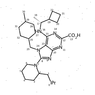 CC(C)CC1CCCCN1c1nc2nc(C(=O)O)nc(N[C@H](C)C3CCC3)c2n1CC1CCC(C)CC1